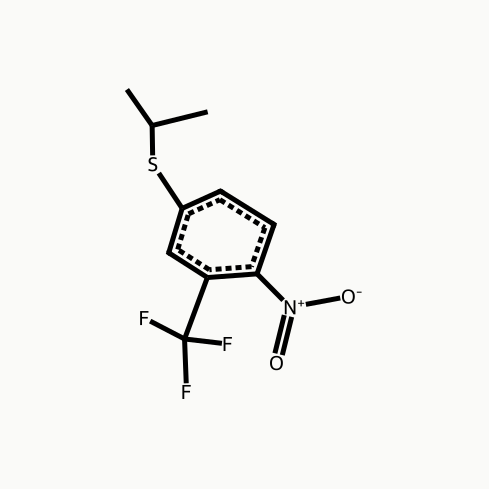 CC(C)Sc1ccc([N+](=O)[O-])c(C(F)(F)F)c1